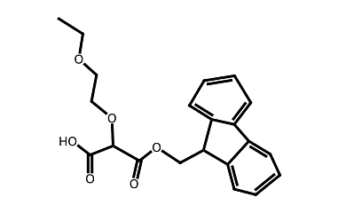 CCOCCOC(C(=O)O)C(=O)OCC1c2ccccc2-c2ccccc21